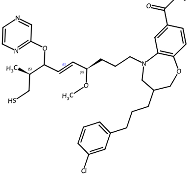 CO[C@@H](/C=C/C(Oc1cnccn1)[C@H](C)CS)CCCN1CC(CCCc2cccc(Cl)c2)COc2ccc(C(N)=O)cc21